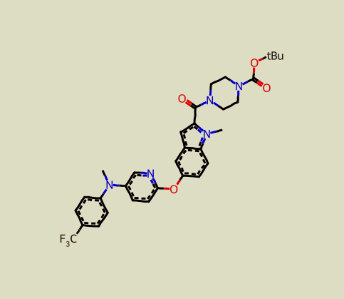 CN(c1ccc(C(F)(F)F)cc1)c1ccc(Oc2ccc3c(c2)cc(C(=O)N2CCN(C(=O)OC(C)(C)C)CC2)n3C)nc1